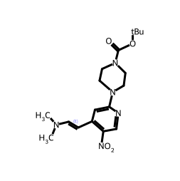 CN(C)/C=C/c1cc(N2CCN(C(=O)OC(C)(C)C)CC2)ncc1[N+](=O)[O-]